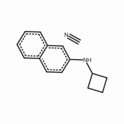 C#N.c1ccc2cc(NC3CCC3)ccc2c1